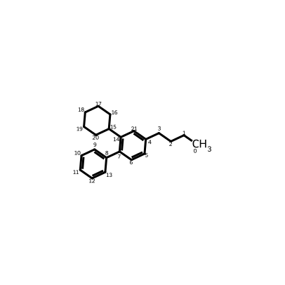 CCCCc1ccc(-c2ccccc2)c(C2CCCCC2)c1